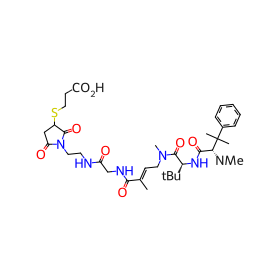 CN[C@H](C(=O)N[C@H](C(=O)N(C)C/C=C(\C)C(=O)NCC(=O)NCCN1C(=O)CC(SCCC(=O)O)C1=O)C(C)(C)C)C(C)(C)c1ccccc1